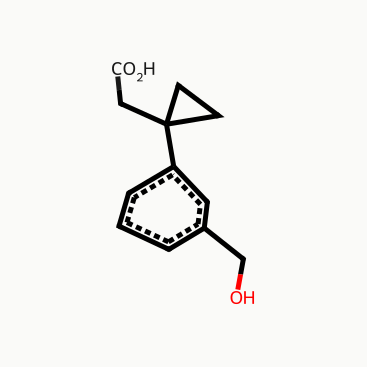 O=C(O)CC1(c2cccc(CO)c2)CC1